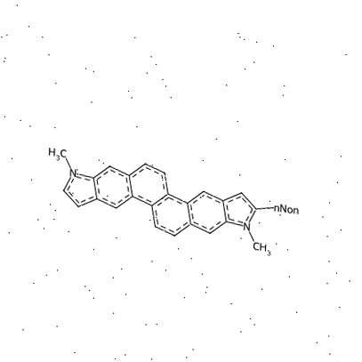 CCCCCCCCCc1cc2cc3c(ccc4c5cc6ccn(C)c6cc5ccc34)cc2n1C